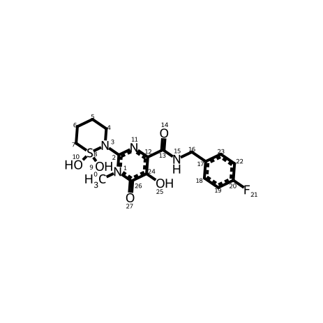 Cn1c(N2CCCCS2(O)O)nc(C(=O)NCc2ccc(F)cc2)c(O)c1=O